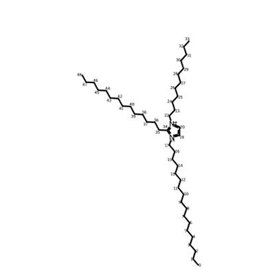 CCCCCCCCCCCCCCCCCCn1cc[n+](CCCCCCCCCCCC)c1CCCCCCCCCCCCCC